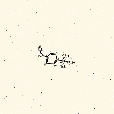 CCOc1ccc([N+](C)(C)CC)cc1